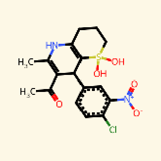 CC(=O)C1=C(C)NC2=C(C1c1ccc(Cl)c([N+](=O)[O-])c1)S(O)(O)CCC2